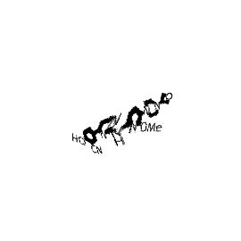 COc1nc(Nc2nccc(-c3ccc(O)c(C#N)c3)n2)ccc1N1CCN(C2COC2)CC1